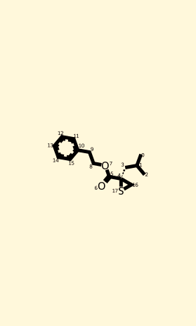 CC(C)C[C@]1(C(=O)OCCc2ccccc2)CS1